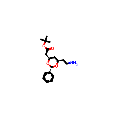 CC(C)(C)OC(=O)C[C@H]1C[C@@H](CCN)O[C@H](c2ccccc2)O1